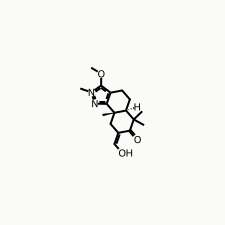 COc1c2c(nn1C)[C@@]1(C)C/C(=C/O)C(=O)C(C)(C)[C@@H]1CC2